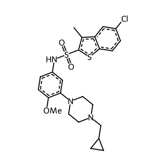 COc1ccc(NS(=O)(=O)c2sc3ccc(Cl)cc3c2C)cc1N1CCN(CC2CC2)CC1